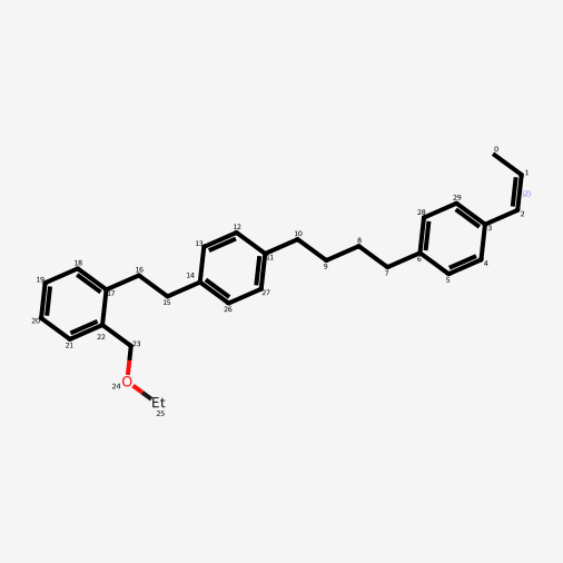 C/C=C\c1ccc(CCCCc2ccc(CCc3ccccc3COCC)cc2)cc1